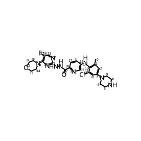 Cc1cc(N2CCNCC2)cc(Cl)c1Nc1ccc(C(=O)NNc2ncc(F)c(N3CCOCC3)n2)nc1